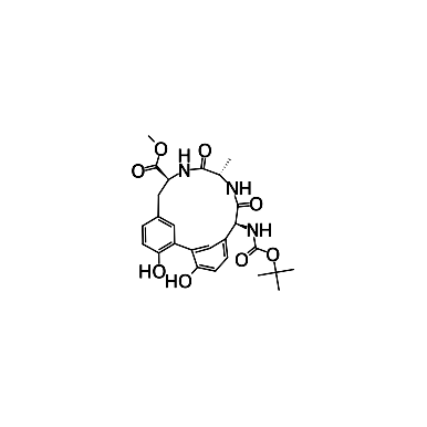 COC(=O)[C@@H]1Cc2ccc(O)c(c2)-c2cc(ccc2O)[C@H](NC(=O)OC(C)(C)C)C(=O)N[C@@H](C)C(=O)N1